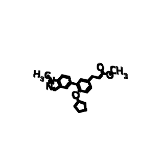 COC(=O)CCc1ccc(OC2CCCC2)c(-c2ccc3c(cnn3C)c2)c1